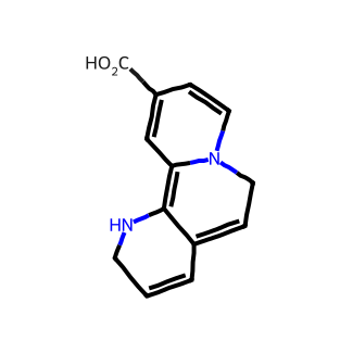 O=C(O)C1=CC2=C3NCC=CC3=CCN2C=C1